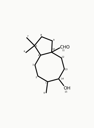 CC1CCC2C(C)(C)CCC2(C=O)CCC1O